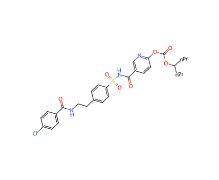 CCCC(CCC)OC(=O)Oc1ccc(C(=O)NS(=O)(=O)c2ccc(CCNC(=O)c3ccc(Cl)cc3)cc2)cn1